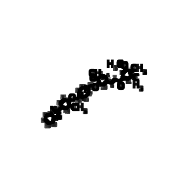 COc1ccc(/C=C/C(=O)c2cc(C)c(C)c(OC)c2)cc1OCN1CCN(COc2ccc(-c3nc4ccccc4s3)cc2C)CC1